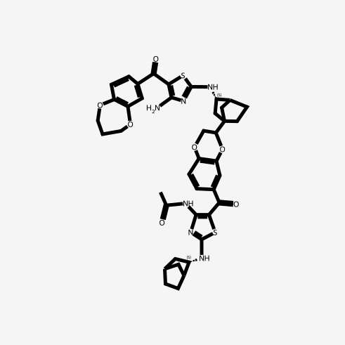 CC(=O)Nc1nc(N[C@H]2CC3CCC2C3)sc1C(=O)c1ccc2c(c1)OC(C13CCC(C1)[C@@H](Nc1nc(N)c(C(=O)c4ccc5c(c4)OCCCO5)s1)C3)CO2